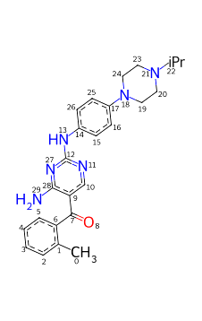 Cc1ccccc1C(=O)c1cnc(Nc2ccc(N3CCN(C(C)C)CC3)cc2)nc1N